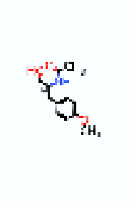 COc1ccc(C[C@@H](CO)NC(C)=O)cc1